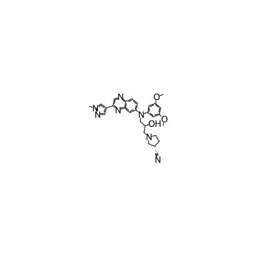 COc1cc(OC)cc(N(C[C@@H](O)CN2CC[C@H](C#N)C2)c2ccc3ncc(-c4cnn(C)c4)nc3c2)c1